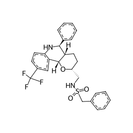 O=S(=O)(Cc1ccccc1)NC[C@H]1CC[C@@H]2[C@H](O1)c1cc(C(F)(F)F)ccc1N[C@H]2c1ccccc1